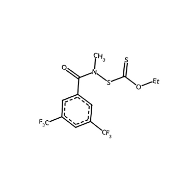 CCOC(=S)SN(C)C(=O)c1cc(C(F)(F)F)cc(C(F)(F)F)c1